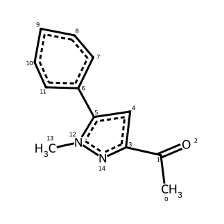 CC(=O)c1cc(-c2ccccc2)n(C)n1